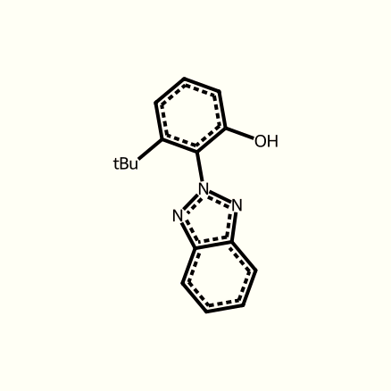 CC(C)(C)c1cccc(O)c1-n1nc2ccccc2n1